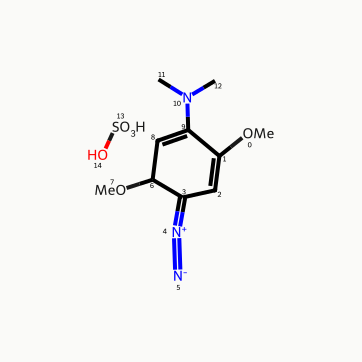 COC1=CC(=[N+]=[N-])C(OC)C=C1N(C)C.O=S(=O)(O)O